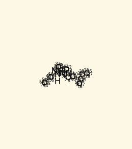 NC(NC(NCc1ccc2cc(-c3c4ccccc4cc4c3ccc3ccccc34)ccc2c1)c1ccccc1-c1ccccc1)c1ccc(-c2ccccc2)cc1